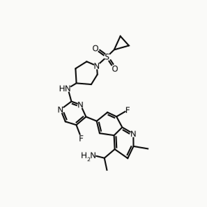 Cc1cc(C(C)N)c2cc(-c3nc(NC4CCN(S(=O)(=O)C5CC5)CC4)ncc3F)cc(F)c2n1